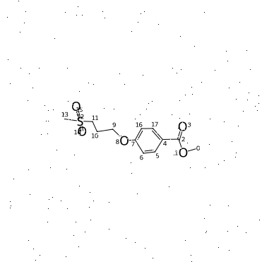 COC(=O)c1ccc(OCCCS(C)(=O)=O)cc1